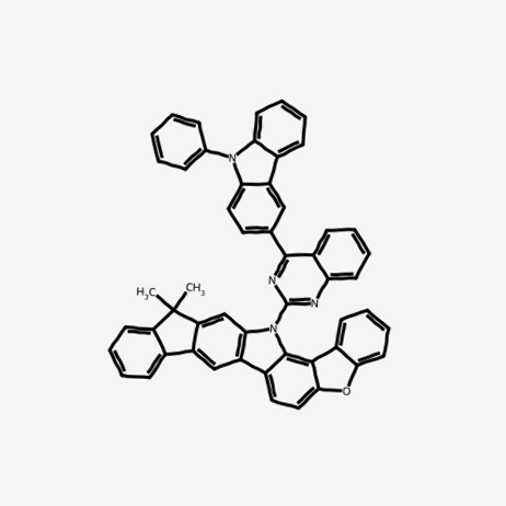 CC1(C)c2ccccc2-c2cc3c4ccc5oc6ccccc6c5c4n(-c4nc(-c5ccc6c(c5)c5ccccc5n6-c5ccccc5)c5ccccc5n4)c3cc21